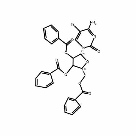 CCc1cn([C@@H]2O[C@H](COC(=O)c3ccccc3)C(OC(=O)c3ccccc3)C2OC(=O)c2ccccc2)c(=O)nc1N